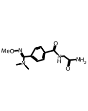 CON=C(c1ccc(C(=O)NCC(N)=O)cc1)N(C)C